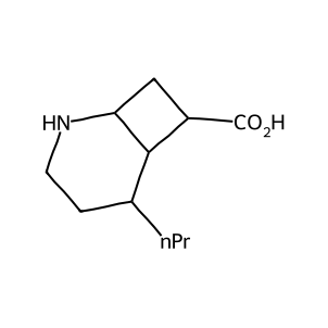 CCCC1CCNC2CC(C(=O)O)C12